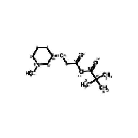 CN1CCC[C@H](OCC(=O)OC(=O)C(C)(C)C)C1